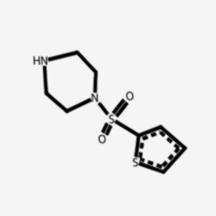 O=S(=O)(c1cccs1)N1CCNCC1